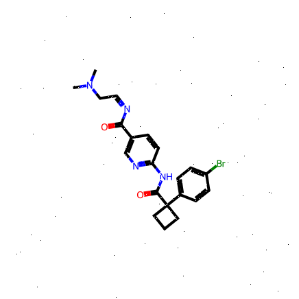 CN(C)C/C=N\C(=O)c1ccc(NC(=O)C2(c3ccc(Br)cc3)CCC2)nc1